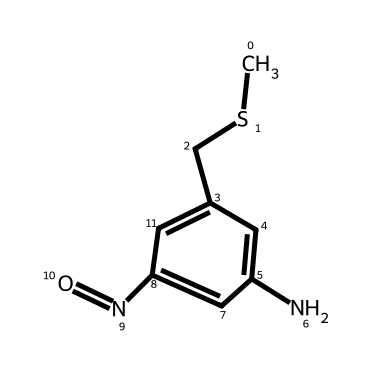 CSCc1cc(N)cc(N=O)c1